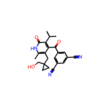 Cc1[nH]c(=O)c(C(C)C)c(C(=O)c2cc(C#N)cc(C#N)c2)c1CC1(CO)CC1